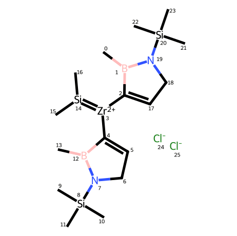 CB1[C]([Zr+2]([C]2=CCN([Si](C)(C)C)B2C)=[Si](C)C)=CCN1[Si](C)(C)C.[Cl-].[Cl-]